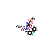 COC(=O)[C@@H](Cc1ccc(F)cc1)N(CCNC(=O)OC(C)(C)C)OC(=O)c1ccccc1